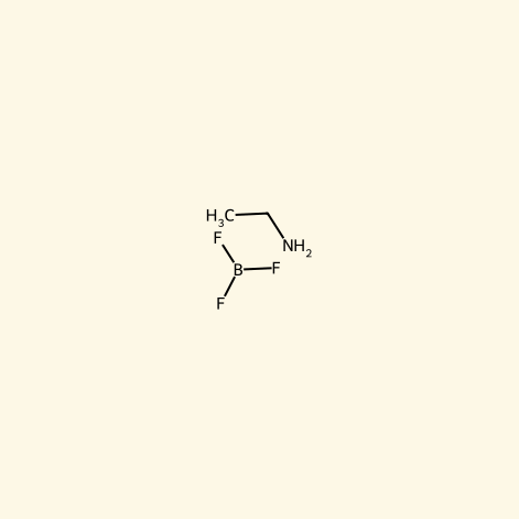 CCN.FB(F)F